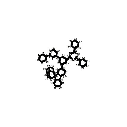 c1ccc(-c2cc(-c3cc(-c4ccc5c(c4)C4(c6ccccc6-5)C5CC6CC(C5)CC4C6)cc(-c4nc(-c5ccccc5)nc(-c5ccccc5)n4)c3)ccn2)cc1